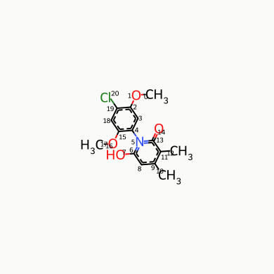 COc1cc(-n2c(O)cc(C)c(C)c2=O)c(OC)cc1Cl